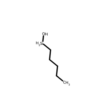 CCCCC[SiH2]O